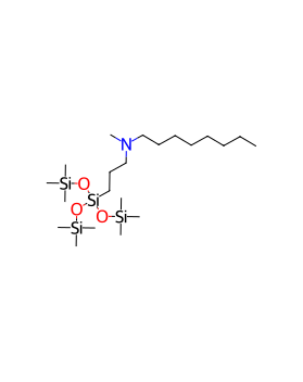 CCCCCCCCN(C)CCC[Si](O[Si](C)(C)C)(O[Si](C)(C)C)O[Si](C)(C)C